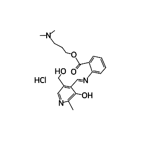 Cc1ncc(CO)c(C=Nc2ccccc2C(=O)OCCCN(C)C)c1O.Cl